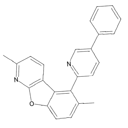 Cc1ccc2c(n1)oc1ccc(C)c(-c3ccc(-c4ccccc4)cn3)c12